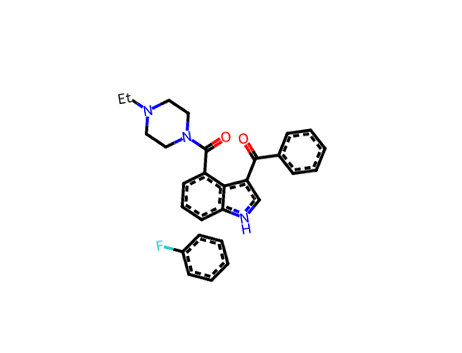 CCN1CCN(C(=O)c2cccc3[nH]cc(C(=O)c4ccccc4)c23)CC1.Fc1ccccc1